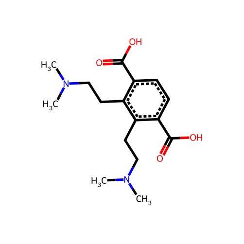 CN(C)CCc1c(C(=O)O)ccc(C(=O)O)c1CCN(C)C